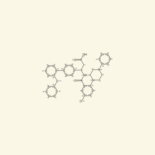 O=C(O)CC(NC(=O)c1cc(Cl)ccc1N1CCN(c2ccccc2)CC1)c1ccc(-c2ccccc2Oc2ccccc2)cc1